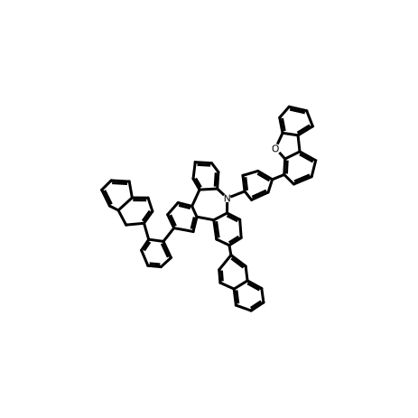 C1=CC2=CC=C(c3ccccc3-c3ccc4c(c3)-c3cc(-c5ccc6ccccc6c5)ccc3N(c3ccc(-c5cccc6c5oc5ccccc56)cc3)c3ccccc3-4)CC2C=C1